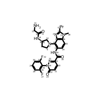 CC(C)c1nc2c(N3CC[C@@H](NC(=O)CN)C3)c(NC(=O)c3ccc(=O)n(-c4c(F)cccc4F)n3)ccc2n1C